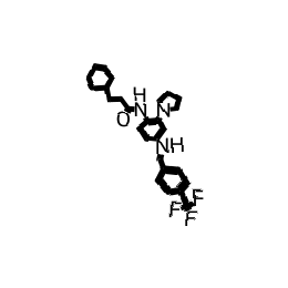 O=C(CCC1CCCCC1)Nc1ccc(NCc2ccc(C(F)(F)F)cc2)cc1N1CCCC1